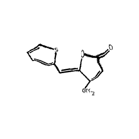 BC1=CC(=O)O/C1=C\c1cccs1